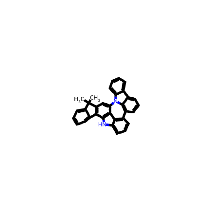 CC1(C)c2ccccc2-c2c1cc1c3c2[nH]c2cccc(c4cccc5c6ccccc6n1c45)c23